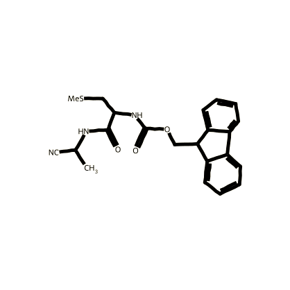 CSCC(NC(=O)OCC1c2ccccc2-c2ccccc21)C(=O)NC(C)C#N